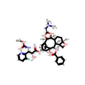 CC(=O)O[C@@]12CO[C@@H]1CCC1[C@@H]2[C@H](OC(=O)c2ccccc2)[C@]2(O)C[C@H](OC(=O)[C@H](O)[C@@H](NC(=O)OC(C)(C)C)c3ncccc3F)C=C([C@H]3O[C@@H](CN(C)C)O[C@@H]13)C2(C)C